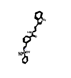 O=C(NCCc1c[nH]c2ccccc12)c1cccc(/C=C/[Si](O)(O)c2ccccc2)c1